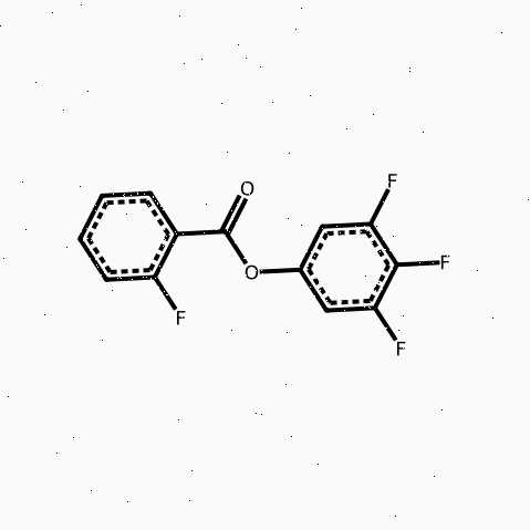 O=C(Oc1cc(F)c(F)c(F)c1)c1ccccc1F